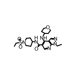 CCn1ncc2c(NC3CCOCC3)c(C(=O)NC3CCN(S(=O)(=O)CC)CC3)cnc21